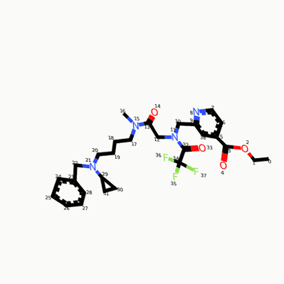 CCOC(=O)c1ccnc(CN(CC(=O)N(C)CCCCN(Cc2ccccc2)C2CC2)C(=O)C(F)(F)F)c1